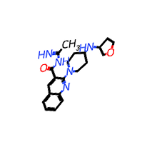 CC(=N)NC(=O)c1cc2ccccc2nc1N1CCC(NC2CCOC2)CC1